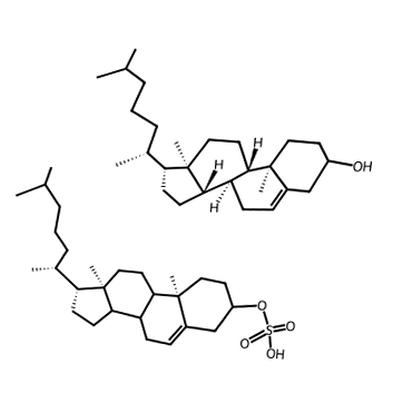 CC(C)CCC[C@@H](C)[C@H]1CCC2C3CC=C4CC(OS(=O)(=O)O)CC[C@]4(C)C3CC[C@@]21C.CC(C)CCC[C@@H](C)[C@H]1CC[C@H]2[C@@H]3CC=C4CC(O)CC[C@]4(C)[C@H]3CC[C@]12C